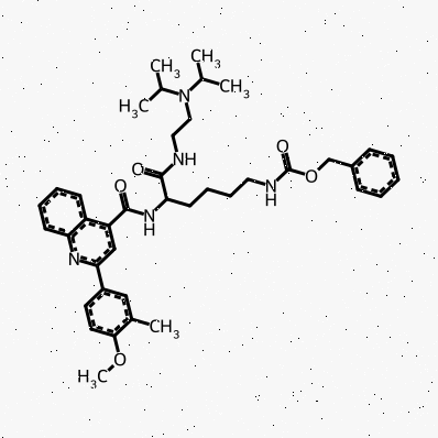 COc1ccc(-c2cc(C(=O)NC(CCCCNC(=O)OCc3ccccc3)C(=O)NCCN(C(C)C)C(C)C)c3ccccc3n2)cc1C